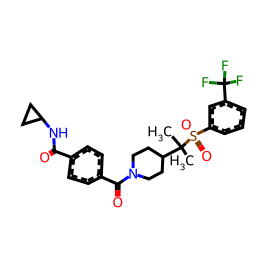 CC(C)(C1CCN(C(=O)c2ccc(C(=O)NC3CC3)cc2)CC1)S(=O)(=O)c1cccc(C(F)(F)F)c1